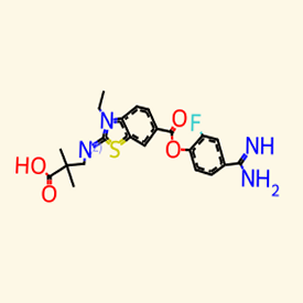 CCn1/c(=N/CC(C)(C)C(=O)O)sc2cc(C(=O)Oc3ccc(C(=N)N)cc3F)ccc21